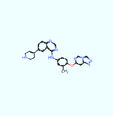 Cc1cc(Nc2ncnc3ccc(C4=CCNCC4)cc23)ccc1Oc1cc2nncn2cn1